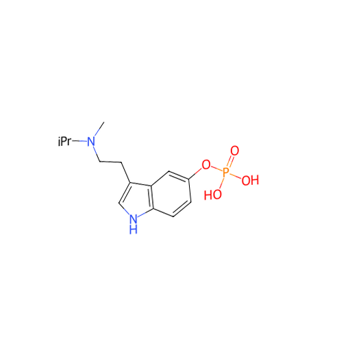 CC(C)N(C)CCc1c[nH]c2ccc(OP(=O)(O)O)cc12